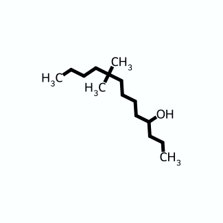 CCCCC(C)(C)CCCCC(O)CCC